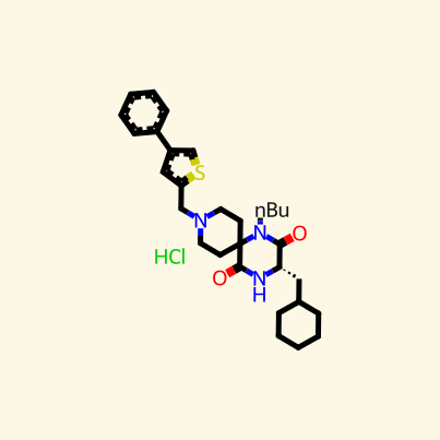 CCCCN1C(=O)[C@H](CC2CCCCC2)NC(=O)C12CCN(Cc1cc(-c3ccccc3)cs1)CC2.Cl